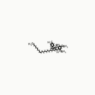 CCCCCCCC/C=C\CCCCCCCCN(CC(=O)Nc1c(OC)cc(OC)cc1OC)S(=O)(=O)c1ccc(C)cc1